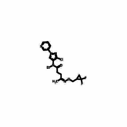 CCN(C(=O)CC/C(C)=N\OCC1CC1(F)F)c1cn(-c2cccnc2)nc1Cl